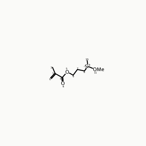 C=C(C)C(=O)OCCC[Si](C)OC